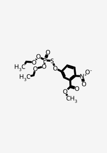 CCOOP(=O)(OOCC)SOc1ccc([N+](=O)[O-])c(C(=O)OC)c1